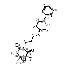 C[C@@H]1C(=O)N(CCCCN2CCN(c3ccccn3)CC2)C(=O)C(C)(C)C1(C)C